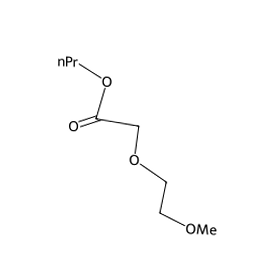 CCCOC(=O)COCCOC